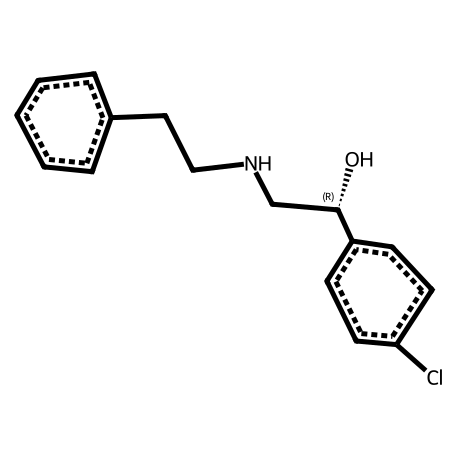 O[C@@H](CNCCc1ccccc1)c1ccc(Cl)cc1